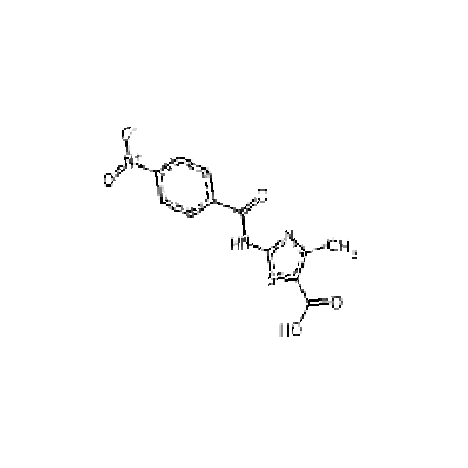 Cc1nc(NC(=O)c2ccc([N+](=O)[O-])cc2)sc1C(=O)O